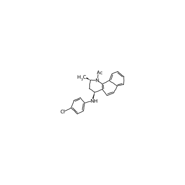 CC(=O)N1c2c(ccc3ccccc23)[C@@H](Nc2ccc(Cl)cc2)C[C@H]1C